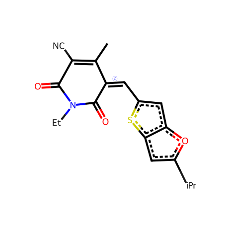 CCN1C(=O)C(C#N)=C(C)/C(=C/c2cc3oc(C(C)C)cc3s2)C1=O